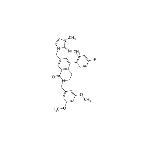 COc1cc(CN2CCc3c(cc(Cn4ccn(C)c4=N)cc3-c3ccc(F)cc3C)C2=O)cc(OC)c1